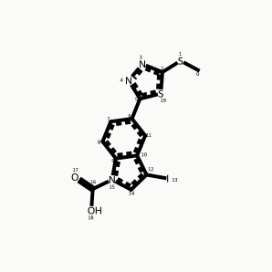 CSc1nnc(-c2ccc3c(c2)c(I)cn3C(=O)O)s1